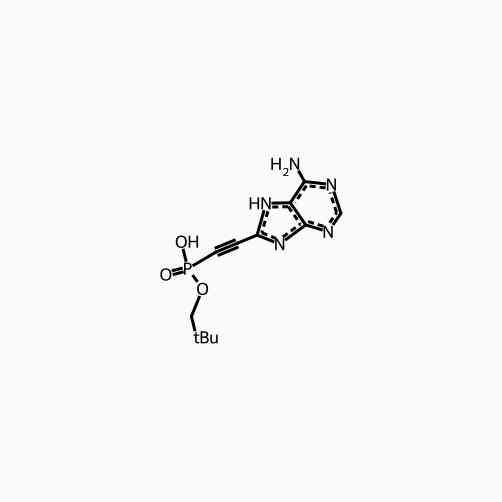 CC(C)(C)COP(=O)(O)C#Cc1nc2ncnc(N)c2[nH]1